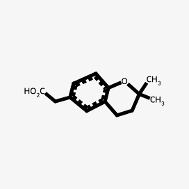 CC1(C)CCc2cc(CC(=O)O)ccc2O1